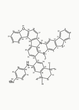 CB1c2cc3sc4ccccc4c3cc2-n2c3ccc4oc5ccccc5c4c3c3ccc(-c4cc5c(cc4Nc4ccc(C(C)(C)C)cc4)C(C)(C)CCC5(C)C)c1c32